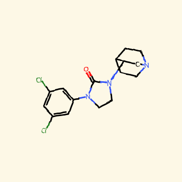 O=C1N(c2cc(Cl)cc(Cl)c2)CCN1C1CN2CCC1CC2